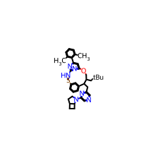 Cc1cccc(C)c1-c1cc2nc(n1)NSc1cccc(c1)C(Cc1cncc(N3CCC4CCC43)n1)C(CC(C)(C)C)CO2